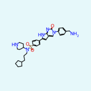 NCc1ccc(-n2cc3cc(-c4ccc(S(=O)(=O)N(CCCC5CCCC5)C5CCNCC5)cc4)[nH]c3nc2=O)cc1